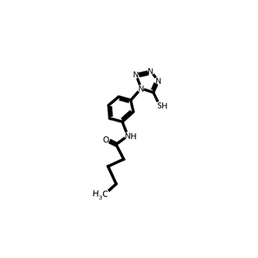 CCCCC(=O)Nc1cccc(-n2nnnc2S)c1